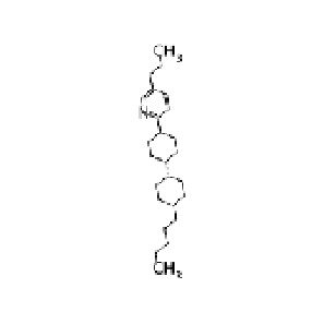 CCCCC[C@H]1CC[C@H](C2CCC(c3ccc(CCC)cn3)CC2)CC1